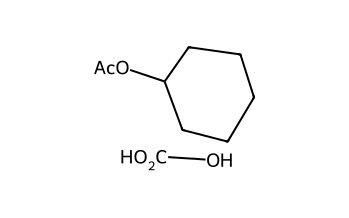 CC(=O)OC1CCCCC1.O=C(O)O